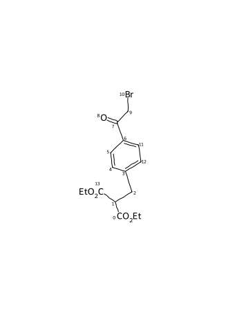 CCOC(=O)C(Cc1ccc(C(=O)CBr)cc1)C(=O)OCC